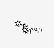 CCOC(=O)CN(C)c1ncnc2c1ncn2C1CCCCO1